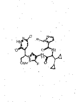 COCC(c1cc(Cl)n[nH]c1=O)n1cc(NC(=O)C(NC(=O)c2ccnn2C(C)C)C(C2CC2)C2CC2)c(F)n1